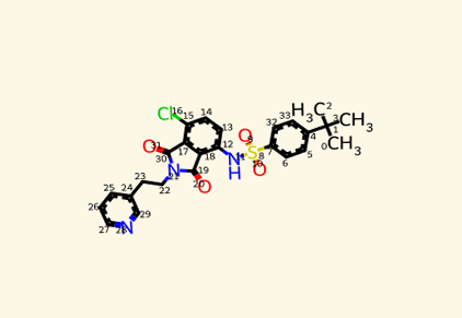 CC(C)(C)c1ccc(S(=O)(=O)Nc2ccc(Cl)c3c2C(=O)N(CCc2cccnc2)C3=O)cc1